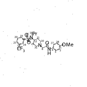 COc1ccc(NC(=O)CN2CCC(N(C(C)C)S(=O)(=O)c3cccc(C(F)(F)F)c3)CC2)cc1